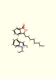 CCCCCCCCC1OC(=O)c2ccccc21.CCn1c(C)cc2ccccc21